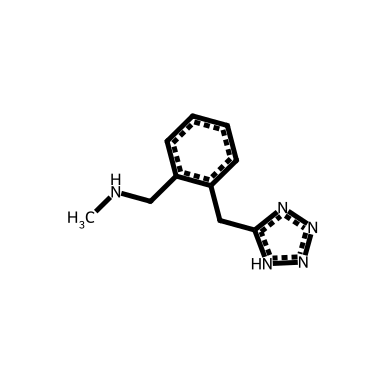 CNCc1ccccc1Cc1nnn[nH]1